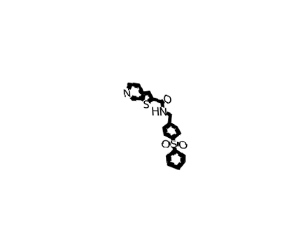 O=C(NCc1ccc(S(=O)(=O)c2ccccc2)cc1)c1cc2ccncc2s1